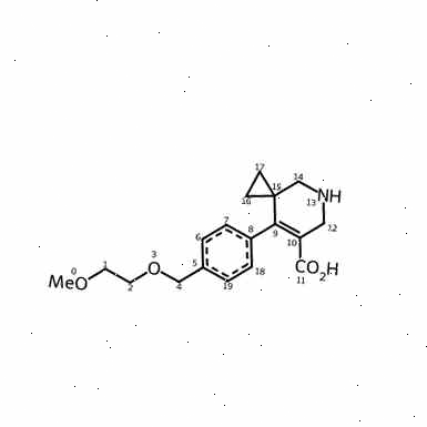 COCCOCc1ccc(C2=C(C(=O)O)CNCC23CC3)cc1